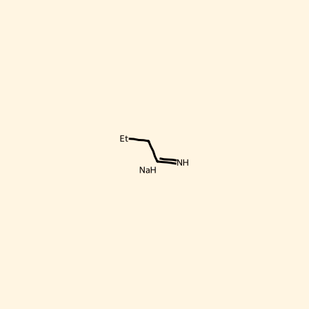 CCCC=N.[NaH]